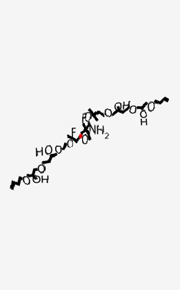 C=CCCOCC(O)COCCC(O)COCCOC(C)(F)CCOC(C)(N)C(C)(CF)COC(C)(C)CCOCC(O)CCOCC(O)COCCC=C